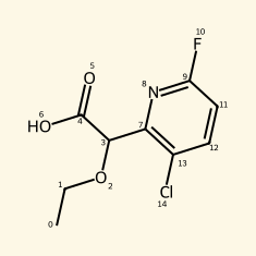 CCOC(C(=O)O)c1nc(F)ccc1Cl